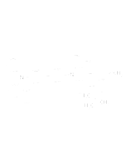 C=Cc1ccc(C(C)(C)C)c(C2=CC(N(c3ccc(-c4ccc(N(c5ccccc5)c5cccc6ccccc56)cc4)cc3)c3cccc4ccccc34)=CCC2)c1